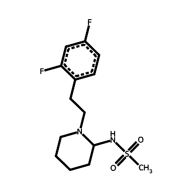 CS(=O)(=O)NC1CCCCN1CCc1ccc(F)cc1F